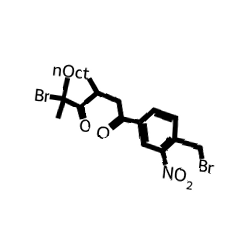 CCCCCCCCC(CC(=O)c1ccc(CBr)c([N+](=O)[O-])c1)C(=O)C(C)(C)Br